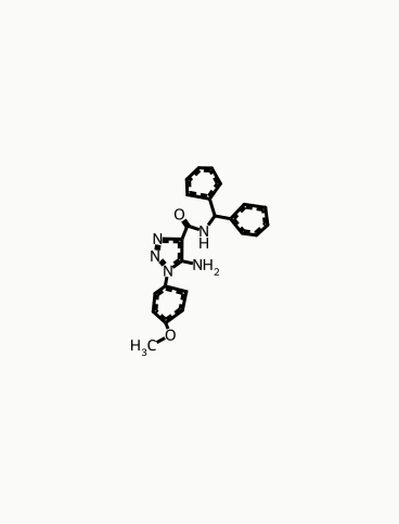 COc1ccc(-n2nnc(C(=O)NC(c3ccccc3)c3ccccc3)c2N)cc1